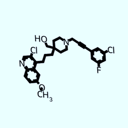 COc1ccc2ncc(Cl)c(CCCC3(CO)CCN(CC#Cc4cc(F)cc(Cl)c4)CC3)c2c1